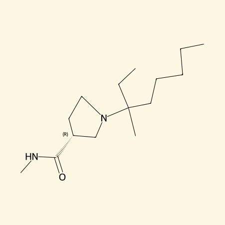 CCCCCC(C)(CC)N1CC[C@@H](C(=O)NC)C1